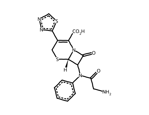 NCC(=O)N(c1ccccc1)C1C(=O)N2C(C(=O)O)=C(c3nncs3)CS[C@@H]12